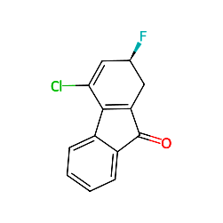 O=C1C2=C(C(Cl)=C[C@@H](F)C2)c2ccccc21